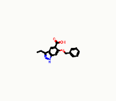 CCc1n[nH]c2cc(OCc3ccccc3)c(C(=O)O)cc12